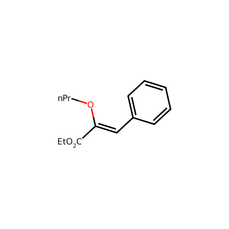 CCCOC(=Cc1ccccc1)C(=O)OCC